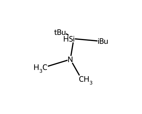 CCC(C)[SiH](N(C)C)C(C)(C)C